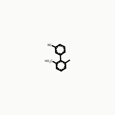 Cc1cccc(C(=O)O)c1-c1cccc(C#N)c1